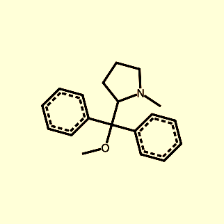 COC(c1ccccc1)(c1ccccc1)C1CCCN1C